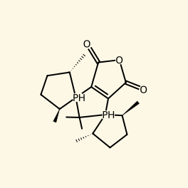 C[C@H]1CC[C@H](C)[PH]12C1=C(C(=O)OC1=O)[PH]1([C@@H](C)CC[C@@H]1C)C2(C)C